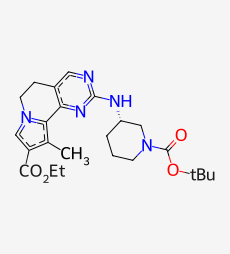 CCOC(=O)c1cn2c(c1C)-c1nc(N[C@H]3CCCN(C(=O)OC(C)(C)C)C3)ncc1CC2